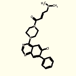 CN(C)CC=CC(=O)N1CCN(c2ncnc3cc(-c4ccccc4)c(Cl)cc23)CC1